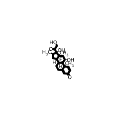 C[C@@H]1C[C@H]2[C@@H]3CCC4=CC(=O)C=C[C@]4(C)[C@@]3(F)[C@@H](O)CC2(C)[C@@]1(O)C(=O)CO